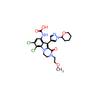 COCCN1CCn2c(c(-c3cnn(C4CCCCO4)c3)c3c(NC(=O)O)cc(Cl)c(Cl)c32)C1=O